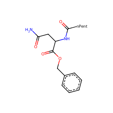 CCCCCC(=O)NC(CC(N)=O)C(=O)OCc1ccccc1